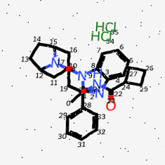 Cc1nc2ccccc2n1C1CC2CCC(C1)N2CCC(NC(=O)C1CCC1)c1ccccc1.Cl.Cl